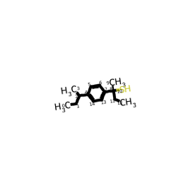 CCC(C)c1ccc([C@](C)(S)CC)cc1